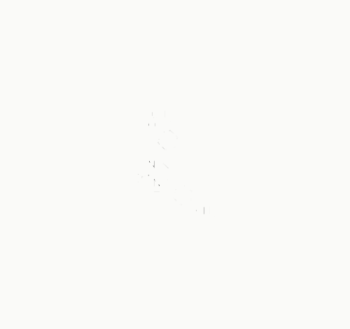 COc1ccc2c(c1)C1=C(CC2)C(c2ccc(C)cc2)NC(=O)N1